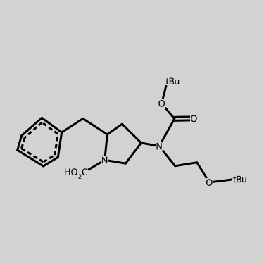 CC(C)(C)OCCN(C(=O)OC(C)(C)C)C1CC(Cc2ccccc2)N(C(=O)O)C1